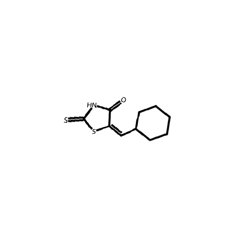 O=C1NC(=S)SC1=CC1CCCCC1